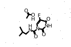 CC(=O)O.CC(C)CNC(=O)n1cc(F)c(=O)[nH]c1=O